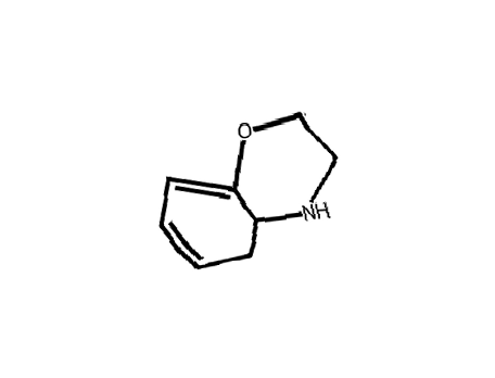 [CH]1CNC2CC=CC=C2O1